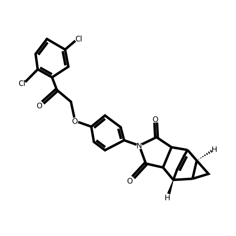 O=C(COc1ccc(N2C(=O)C3C(C2=O)[C@@H]2C=CC3[C@H]3CC23)cc1)c1cc(Cl)ccc1Cl